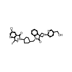 O=C(NC1CCC(CN2C(=O)C3(CN(c4ccc(CO)cn4)C3)c3ccccc32)CC1)c1cc(Cl)cnc1C(F)F